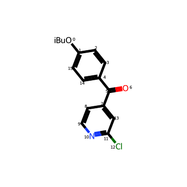 CC(C)COc1ccc(C(=O)c2ccnc(Cl)c2)cc1